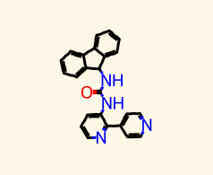 O=C(Nc1cccnc1-c1ccncc1)NC1c2ccccc2-c2ccccc21